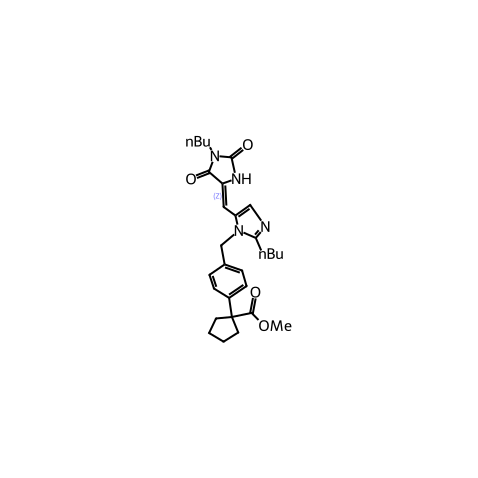 CCCCc1ncc(/C=C2\NC(=O)N(CCCC)C2=O)n1Cc1ccc(C2(C(=O)OC)CCCC2)cc1